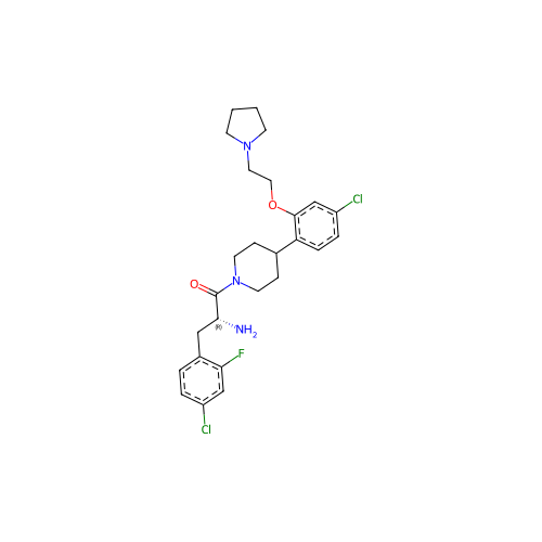 N[C@H](Cc1ccc(Cl)cc1F)C(=O)N1CCC(c2ccc(Cl)cc2OCCN2CCCC2)CC1